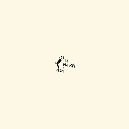 O=CO.[KH].[NaH]